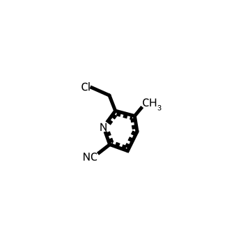 Cc1ccc(C#N)nc1CCl